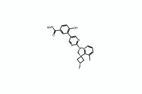 CNC(=O)c1ccc(O)c(-c2cnc(NC[C@]3(c4ncccc4F)C[C@H](F)C3)nc2)c1